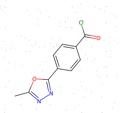 Cc1nnc(-c2ccc(C(=O)Cl)cc2)o1